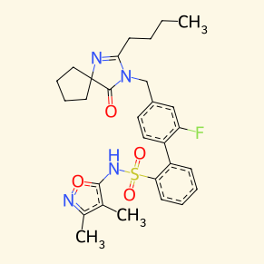 CCCCC1=NC2(CCCC2)C(=O)N1Cc1ccc(-c2ccccc2S(=O)(=O)Nc2onc(C)c2C)c(F)c1